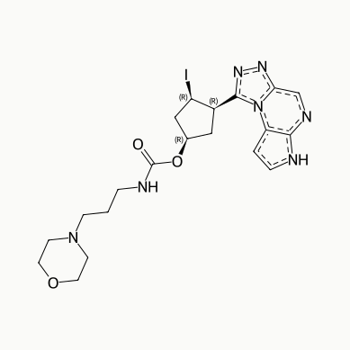 O=C(NCCCN1CCOCC1)O[C@H]1C[C@@H](I)[C@@H](c2nnc3cnc4[nH]ccc4n23)C1